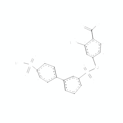 CS(=O)(=O)c1ccc(-c2cccc(S(=O)(=O)Nc3ccc(C(=O)O)c(O)c3)c2)cc1